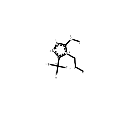 CCCn1c(SC)nnc1C(F)(F)F